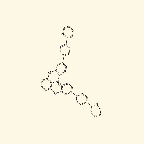 O=P12c3ccc(-c4ccc(-c5ccccn5)cc4)cc3Oc3cccc(c31)Oc1cc(-c3ccc(-c4ccccn4)cc3)ccc12